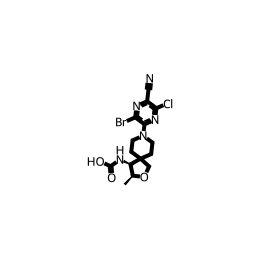 C[C@@H]1OCC2(CCN(c3nc(Cl)c(C#N)nc3Br)CC2)[C@@H]1NC(=O)O